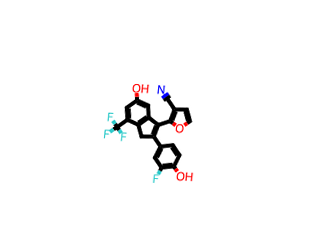 N#Cc1ccoc1C1=C(c2ccc(O)c(F)c2)Cc2c1cc(O)cc2C(F)(F)F